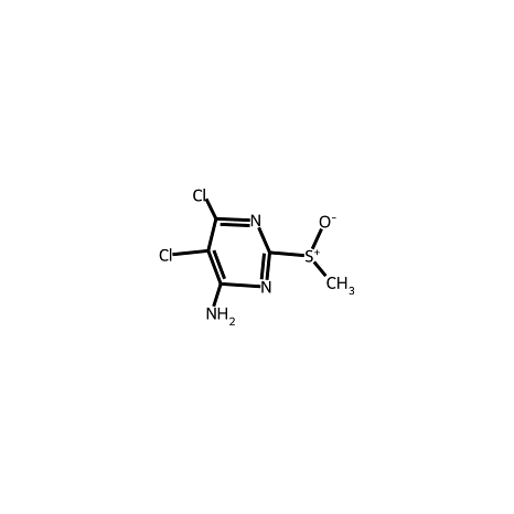 C[S+]([O-])c1nc(N)c(Cl)c(Cl)n1